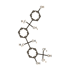 CC(C)(c1ccc(O)cc1)c1cccc(C(C)(C)c2ccc(O)c(C(O)(C(F)(F)F)C(F)(F)F)c2)c1